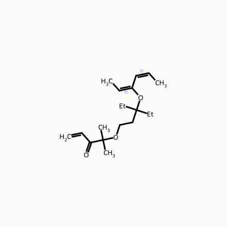 C=CC(=O)C(C)(C)OCCC(CC)(CC)OC(/C=C\C)=C/C